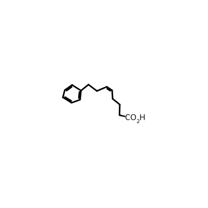 O=C(O)CCC/C=C\CCc1ccccc1